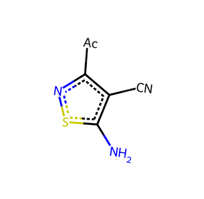 CC(=O)c1nsc(N)c1C#N